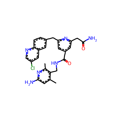 Cc1cc(N)nc(C)c1CNC(=O)c1cc(CC(N)=O)nc(Cc2ccc3ncc(Cl)cc3c2)c1